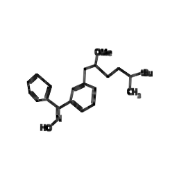 COC(CCC(C)C(C)(C)C)Cc1cccc(C(=NO)c2ccccc2)c1